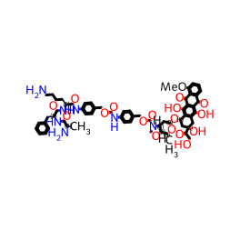 COc1cccc2c1C(=O)c1c(O)c3c(c(O)c1C2=O)C[C@@](O)(C(=O)CO)C[C@@H]3O[C@H]1C[C@H]2[C@@H](OCN2C(=O)OCc2ccc(NC(=O)OCc3ccc(NC(=O)[C@H](CCCCN)NC(=O)[C@H](Cc4ccccc4)NC(=O)[C@@H](C)N)cc3)cc2)[C@H](C)O1